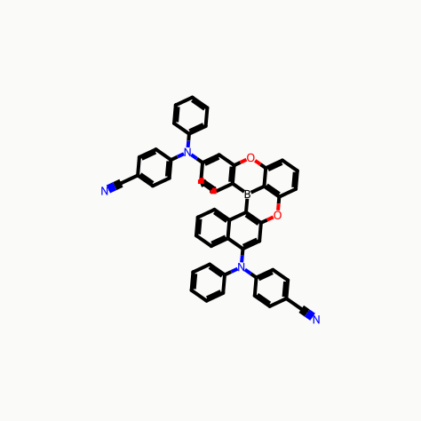 N#Cc1ccc(N(c2ccccc2)c2cc3c(c4ccccc24)B2c4c(cccc4Oc4cc(N(c5ccccc5)c5ccc(C#N)cc5)c5ccccc5c42)O3)cc1